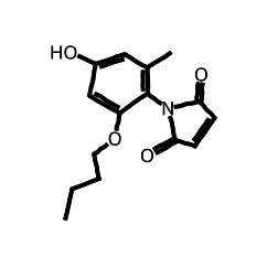 CCCCOc1cc(O)cc(C)c1N1C(=O)C=CC1=O